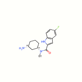 CCN(C(=O)c1cc2cc(F)ccc2[nH]1)[C@H]1CCC[C@@H](N)C1